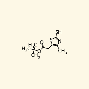 Cc1nc(S)sc1CC(=O)OC(C)(C)C